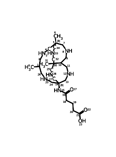 CC1CNC[C@]2(C)CNCC3CNC[C@](NC(=O)CCCC(=O)O)(CNC1)CNCC3(C)CNC2